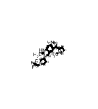 C=C1Nc2cc3[nH]nc(-c4ccnn4C)c3cc2CN1C1CCN(CC(F)(F)F)C1